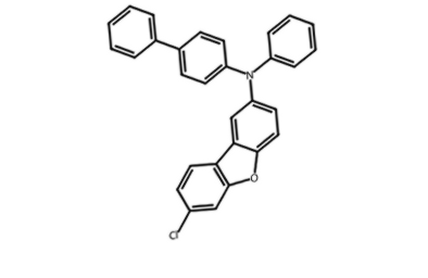 Clc1ccc2c(c1)oc1ccc(N(c3ccccc3)c3ccc(-c4ccccc4)cc3)cc12